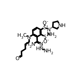 CN(CCCCC=O)c1ccc([S+]([O-])N[C@@H]2CCNC2)c([S+](N)[O-])c1/C(N)=N/NN